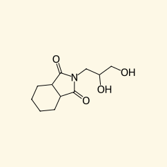 O=C1C2CCCCC2C(=O)N1CC(O)CO